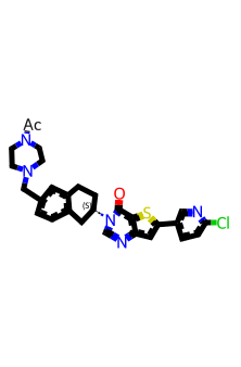 CC(=O)N1CCN(Cc2ccc3c(c2)CC[C@H](n2cnc4cc(-c5ccc(Cl)nc5)sc4c2=O)C3)CC1